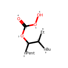 CCCCCC(OC(=O)OO)C(CC)CCCC